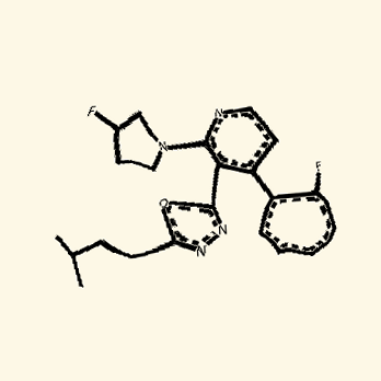 CC(C)CCc1nnc(-c2c(-c3ccccc3F)ccnc2N2CCC(F)C2)o1